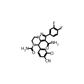 N#Cc1ccc(C2c3c(C(N)=O)c(-c4ccc(F)c(F)c4)nn3CCN2C(N)=O)cc1Cl